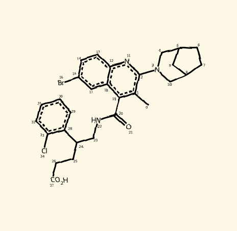 Cc1c(N2CC3CCC(C3)C2)nc2ccc(Br)cc2c1C(=O)NCC(CCC(=O)O)c1ccccc1Cl